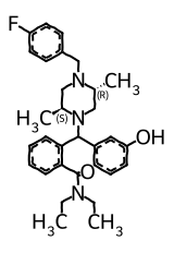 CCN(CC)C(=O)c1ccccc1C(c1cccc(O)c1)N1C[C@@H](C)N(Cc2ccc(F)cc2)C[C@@H]1C